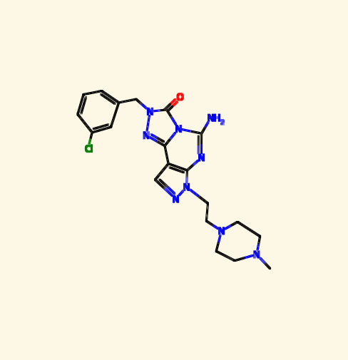 CN1CCN(CCn2ncc3c2nc(N)n2c(=O)n(Cc4cccc(Cl)c4)nc32)CC1